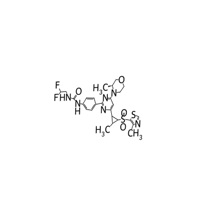 Cc1ncsc1S(=O)(=O)C1C(C)C1c1cc(N2CCOC[C@@H]2C)nc(-c2ccc(NC(=O)NCC(F)F)cc2)n1